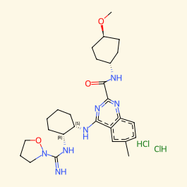 CO[C@H]1CC[C@H](NC(=O)c2nc(N[C@H]3CCCC[C@H]3NC(=N)N3CCCO3)c3cc(C)ccc3n2)CC1.Cl.Cl